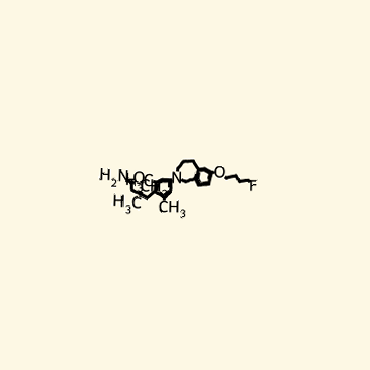 Cc1cc(N2CCCc3cc(OCCCCF)ccc3C2)cc(C)c1CC(C)(C)CC(N)=O